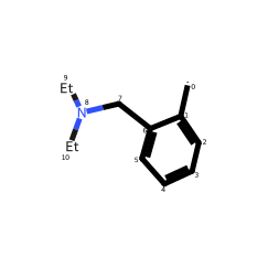 [CH2]c1ccccc1CN(CC)CC